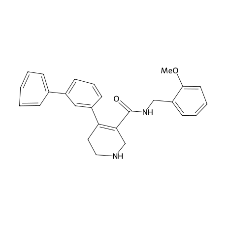 COc1ccccc1CNC(=O)C1=C(c2cccc(-c3ccccc3)c2)CCNC1